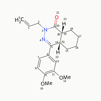 C=CCN1N=C(c2ccc(OC)c(OC)c2)[C@H]2CCCC[C@H]2C1=O